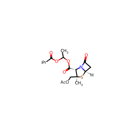 CC(=O)OC[C@]1(C)S[C@@H]2CC(=O)N2[C@H]1C(=O)OC(C)OC(=O)C(C)C